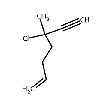 C#CC(C)(Cl)CCC=C